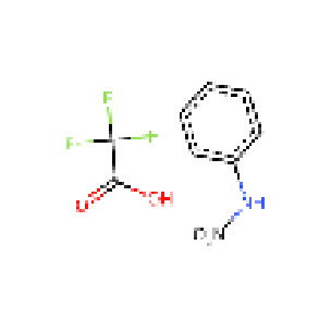 O=C(O)C(F)(F)F.O=[N+]([O-])Nc1ccccc1